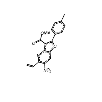 C=Cc1nc2c(C(=O)OC)c(-c3ccc(C)cc3)oc2cc1[N+](=O)[O-]